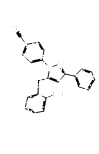 N#Cc1ccc(-n2nc(-c3ccccc3)cc2Cc2ccccc2N)cc1